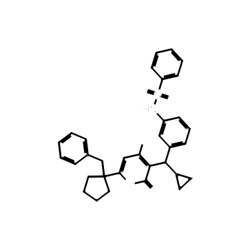 O=c1oc(C2(Cc3ccccc3)CCCC2)cc(O)c1C(c1cccc(NS(=O)(=O)c2ccccc2)c1)C1CC1